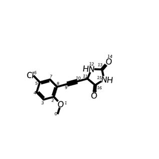 COc1ccc(Cl)cc1C#CC1NC(=O)NC1=O